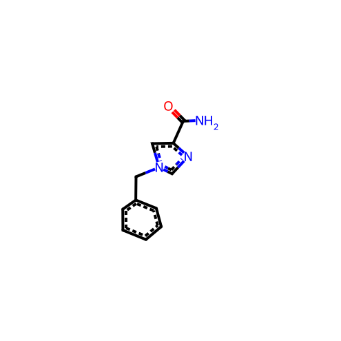 NC(=O)c1cn(Cc2ccccc2)cn1